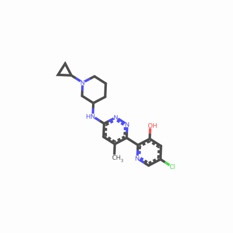 Cc1cc(NC2CCCN(C3CC3)C2)nnc1-c1ncc(Cl)cc1O